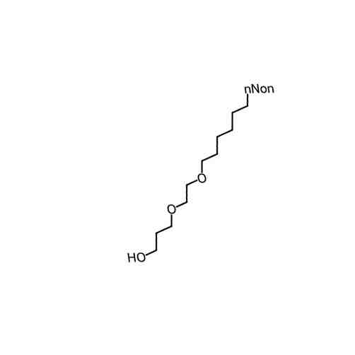 CCCCCCCCCCCCCCCOCCOCCCO